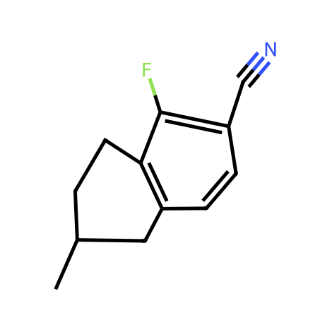 CC1CCc2c(ccc(C#N)c2F)C1